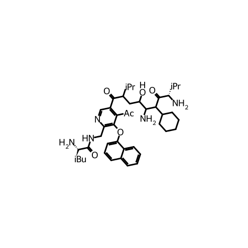 CC[C@H](C)[C@H](N)C(=O)NCc1ncc(C(=O)C(CC(O)C(N)C(C(=O)[C@@H](N)C(C)C)C2CCCCC2)C(C)C)c(C(C)=O)c1Oc1cccc2ccccc12